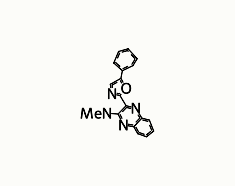 CNc1nc2ccccc2nc1-c1ncc(-c2ccccc2)o1